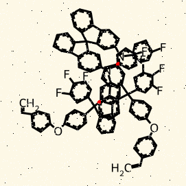 C=Cc1ccc(Oc2ccc(C3(c4cc(F)c(F)c(F)c4)c4ccccc4-c4ccc(N(c5ccc(F)cc5)c5ccc6c(c5)C5(c7ccccc7-6)c6ccccc6-c6ccc(N(c7ccc(F)cc7)c7ccc8c(c7)C(c7ccc(Oc9ccc(C=C)cc9)cc7)(c7cc(F)c(F)c(F)c7)c7ccccc7-8)cc65)cc43)cc2)cc1